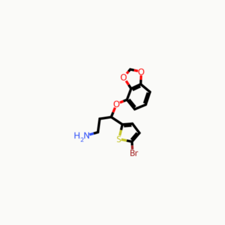 NCCC(Oc1cccc2c1OCO2)c1ccc(Br)s1